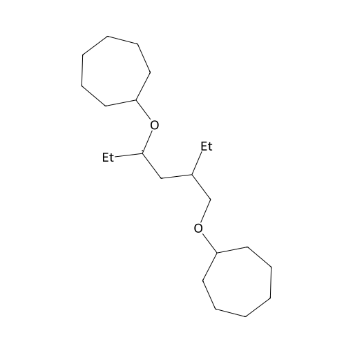 CC[C](CC(CC)COC1CCCCCC1)OC1CCCCCC1